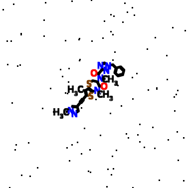 Cc1c(C#Cc2cnn(C)c2)sc2c1SC[C@H](N(C)C(=O)c1ncn(Cc3ccccc3)n1)C(=O)N2C